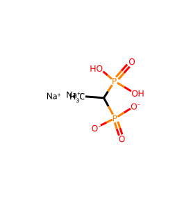 CC(P(=O)([O-])[O-])P(=O)(O)O.[Na+].[Na+]